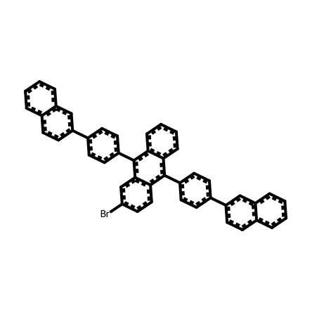 Brc1ccc2c(-c3ccc(-c4ccc5ccccc5c4)cc3)c3ccccc3c(-c3ccc(-c4ccc5ccccc5c4)cc3)c2c1